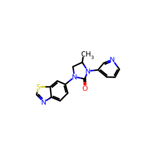 CC1CN(c2ccc3ncsc3c2)C(=O)N1c1cccnc1